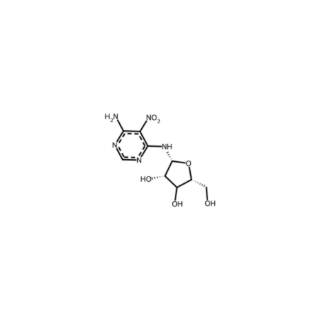 Nc1ncnc(N[C@@H]2O[C@H](CO)C(O)[C@@H]2O)c1[N+](=O)[O-]